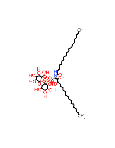 CCCCCCCCCCCCCCCCCCCC(=O)N[C@@H](COP(=O)(O)O[C@H]1C(O)C(O)C(O)[C@@H](O)C1O[C@H]1O[C@H](CO)[C@@H](O)C(O)C1O)[C@H](O)[C@H](O)CCCCCCCCCCCCCCCC